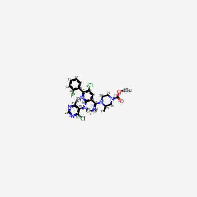 C/N=C(\c1cc(Cl)c(-c2ccccc2F)nc1N(C=O)c1c(Cl)ncnc1C(C)C)N1CCN(C(=O)OC(C)(C)C)CC1C